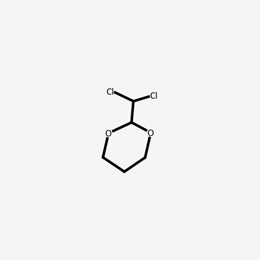 ClC(Cl)C1OCCCO1